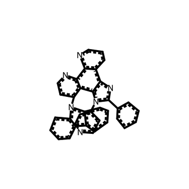 c1ccc(-c2nc3c4cccnc4c4nccc(-n5c6ccccc6c6ccccc65)c4c3n2-c2ccncc2)cc1